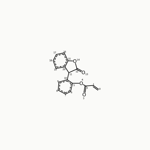 C=CC(=O)Oc1ccccc1C1C(=O)Oc2ccccc21